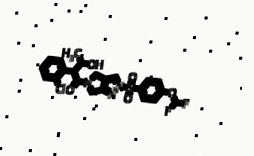 CC(O)C(C(=O)N1Cc2cn(S(=O)(=O)c3ccc(OC(F)F)cc3)nc2C1)c1ccccc1Cl